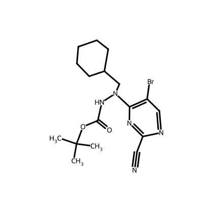 CC(C)(C)OC(=O)NN(CC1CCCCC1)c1nc(C#N)ncc1Br